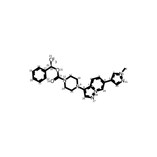 Cn1cc(-c2ccc3c(N4CCN(C(=O)O[C@@H](c5ccccc5)C(F)(F)F)CC4)cnn3c2)cn1